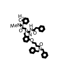 CNN(C(=O)CN1Cc2cccc(OCCCC(=O)N(Cc3ccccc3)Cc3ccccc3)c2N=C1NC(=O)Cc1ccccc1)c1ccccc1C